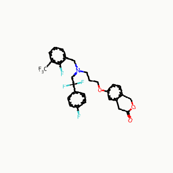 O=C1Cc2cc(OCCCN(Cc3cccc(C(F)(F)F)c3F)CC(F)(F)c3ccc(F)cc3)ccc2CO1